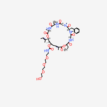 C/C=C(\C)[C@H]1OC(=O)[C@@H](C)NC(=O)C(C(C)CC)NC(=O)CN(C)C(=O)[C@@H](Cc2ccccc2)N(C)C(=O)[C@H](C)NC(=O)[C@@H](CC(C)C)OC(=O)/C(C)=C/C[C@H](OC(=O)NCCOCCOCCOCCO)[C@@H]1C